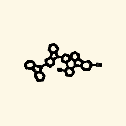 N#Cc1ccc2c(c1)c1ccccc1n2-c1cccc(C#N)c1-c1cccc(-n2c3ccccc3c3cc(-n4c5ccccc5c5ccccc54)ccc32)c1